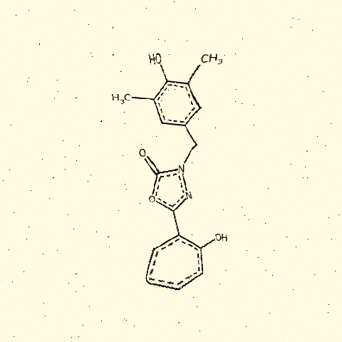 Cc1cc(Cn2nc(-c3ccccc3O)oc2=O)cc(C)c1O